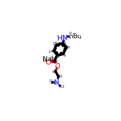 CCCCNc1ccc(C(=O)OCCN(C)C)cc1.[NaH]